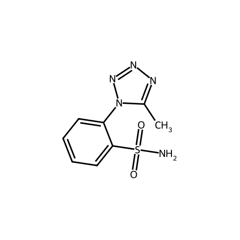 Cc1nnnn1-c1ccccc1S(N)(=O)=O